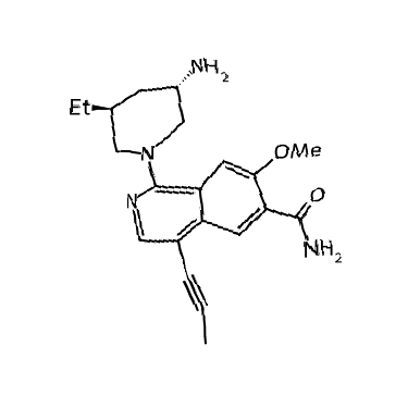 CC#Cc1cnc(N2C[C@@H](N)C[C@H](CC)C2)c2cc(OC)c(C(N)=O)cc12